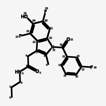 CCCNC(=O)Cc1c(C)n(C(=O)c2cccc(F)c2)c2cc(F)c(O)c(F)c12